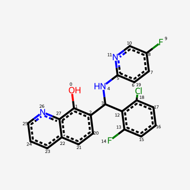 Oc1c(C(Nc2ccc(F)cn2)c2c(F)cccc2Cl)ccc2cccnc12